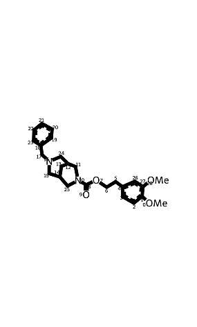 COc1ccc(CCOC(=O)N2CC3CC(CN(Cc4ccccc4)C3)C2)cc1OC